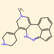 CN1C=C2C(=C(C3=CCNCC3)C1)NN=C1C=Cc3cccc2c31